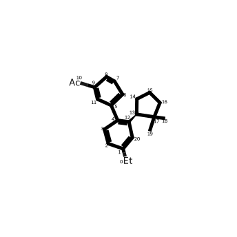 CCc1ccc(-c2cccc(C(C)=O)c2)c([C@H]2CCCC2(C)C)c1